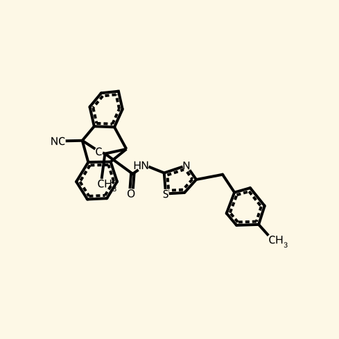 Cc1ccc(Cc2csc(NC(=O)C3(C)CC4(C#N)c5ccccc5C3c3ccccc34)n2)cc1